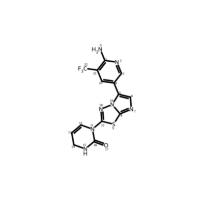 Nc1ncc(-c2cnc3sc(N4C=CCNC4=O)nn23)cc1C(F)(F)F